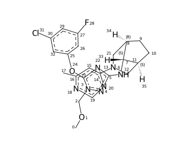 COCn1nc(N[C@@H]2[C@@H]3CC[C@H]2CN(c2cc(C)ncn2)C3)nc1Oc1cc(F)cc(Cl)c1